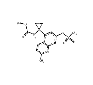 Cc1ccc2c(C3(NC(=O)OC(C)(C)C)CC3)cc(OS(=O)(=O)C(F)(F)F)cc2n1